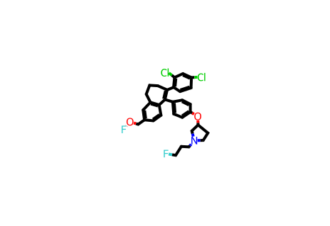 FCCCN1CCC(Oc2ccc(C3=C(c4ccc(Cl)cc4Cl)CCCc4cc(COF)ccc43)cc2)C1